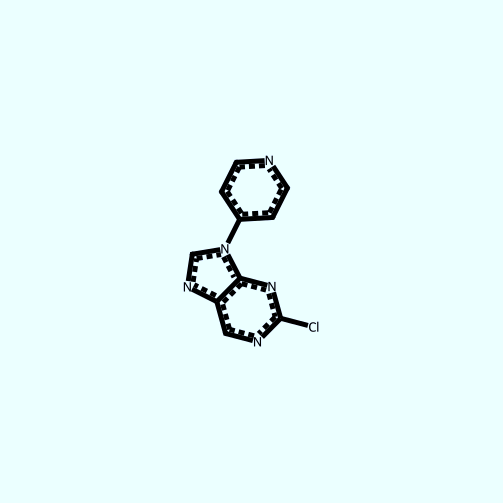 Clc1ncc2ncn(-c3ccncc3)c2n1